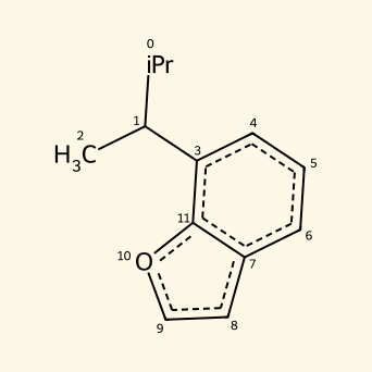 CC(C)C(C)c1cccc2ccoc12